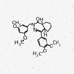 COc1cc(CN2N=C(c3ccc(OC)c(OC)c3)[C@H]3CCCC[C@H]3C2=O)cc(OC)c1